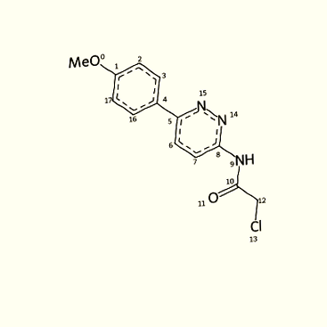 COc1ccc(-c2ccc(NC(=O)CCl)nn2)cc1